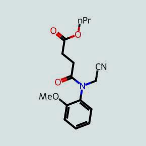 CCCOC(=O)CCC(=O)N(CC#N)c1ccccc1OC